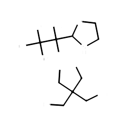 CC(C)C(C(=O)O)(C1NCCO1)C(C(C)C)(C(C)C)C(C)C.OCC(CO)(CO)CO